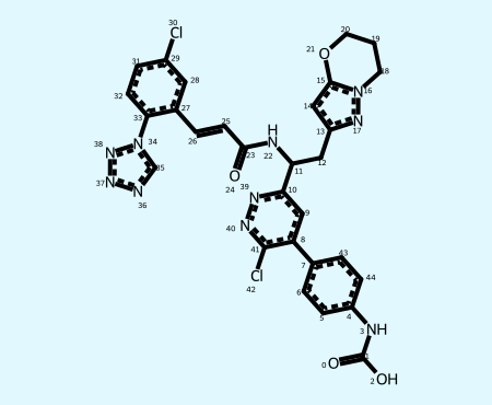 O=C(O)Nc1ccc(-c2cc(C(Cc3cc4n(n3)CCCO4)NC(=O)C=Cc3cc(Cl)ccc3-n3cnnn3)nnc2Cl)cc1